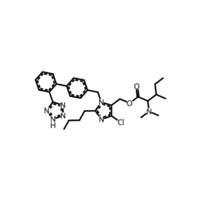 CCCCc1nc(Cl)c(COC(=O)C(C(C)CC)N(C)C)n1Cc1ccc(-c2ccccc2-c2nn[nH]n2)cc1